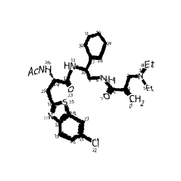 C=C(CN(CC)CC)C(=O)NCC(NC(=O)[C@H](Cc1nc2ccc(Cl)cc2s1)NC(C)=O)C1CCCCC1